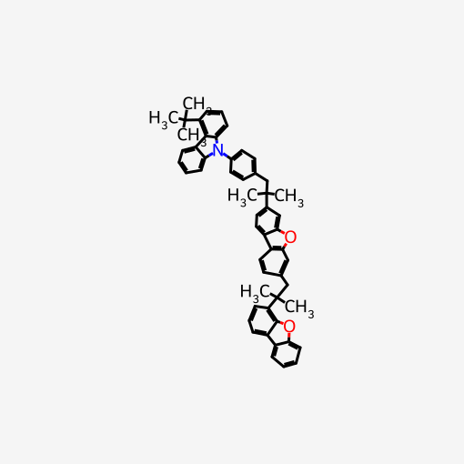 CC(C)(C)c1cccc2c1c1ccccc1n2-c1ccc(CC(C)(C)c2ccc3c(c2)oc2cc(CC(C)(C)c4cccc5c4oc4ccccc45)ccc23)cc1